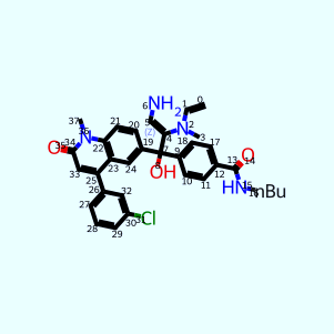 C=CN(C)/C(=C\N)C(O)(c1ccc(C(=O)NCCCC)cc1)c1ccc2c(c1)c(-c1cccc(Cl)c1)cc(=O)n2C